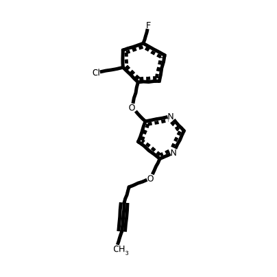 CC#CCOc1cc(Oc2ccc(F)cc2Cl)ncn1